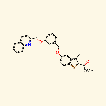 COC(=O)c1sc2ccc(OCc3cccc(OCc4ccc5ccccc5n4)c3)cc2c1C